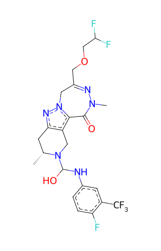 C[C@@H]1Cc2nn3c(c2CN1C(O)Nc1ccc(F)c(C(F)(F)F)c1)C(=O)N(C)N=C(COCC(F)F)C3